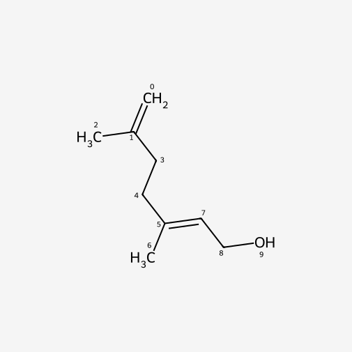 C=C(C)CCC(C)=CCO